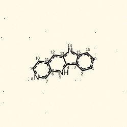 c1ccc2c3[nH]c4cnccc4cc-3nc2c1